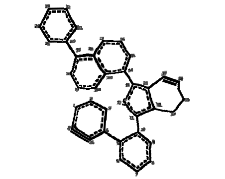 c1cccc(-c2ccccc2-c2sc(-c3cccc4c(-c5ccccc5)cccc34)c3c2CCC=C3)c#1